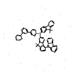 CC1(C)c2ccccc2-c2ccc(N(c3ccc(-c4cccc(-c5ccccc5)c4)cc3)c3ccc4c(c3)C(C)(C)c3cccc(-n5c6ccccc6c6ccccc65)c3-4)cc21